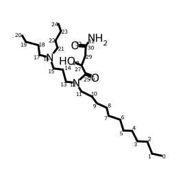 CCCCCCCCCCCCN(CCCN(CCCC)CCCC)C(=O)C(O)CC(N)=O